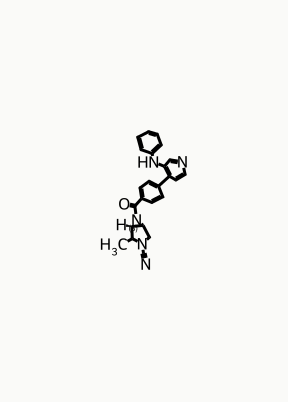 CC1[C@H]2C(CN1C#N)N2C(=O)c1ccc(-c2ccncc2Nc2ccccc2)cc1